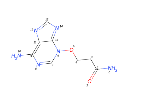 NC(=O)CCOn1cnc(N)c2ncnc1-2